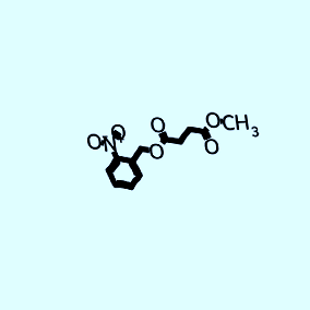 COC(=O)CCC(=O)OCc1ccccc1[N+](=O)[O-]